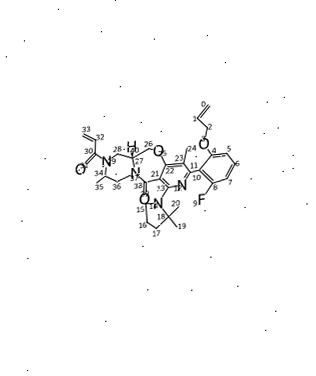 C=CCOc1cccc(F)c1-c1nc(N2CCCC2(C)C)c2c(c1C)OC[C@H]1CN(C(=O)C=C)C(C)CN1C2=O